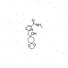 NC(=O)c1csc(CC2(O)CCC3(CC2)OCCO3)n1